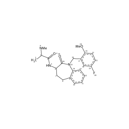 CNC(C)C(=O)NC1CCc2ccccc2N(Cc2cc(F)ccc2OC)C1=O